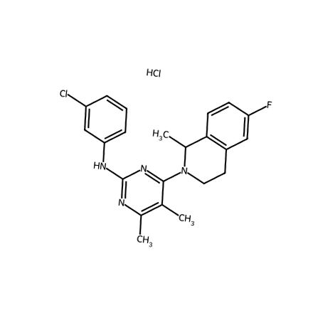 Cc1nc(Nc2cccc(Cl)c2)nc(N2CCc3cc(F)ccc3C2C)c1C.Cl